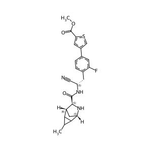 COC(=O)c1cc(-c2ccc(C[C@@H](C#N)NC(=O)[C@H]3N[C@H]4C[C@@H]3C3C(C)C34)c(F)c2)cs1